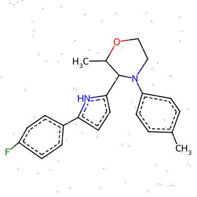 Cc1ccc(N2CCOC(C)C2c2ccc(-c3ccc(F)cc3)[nH]2)cc1